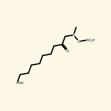 CCCCCCCCCCCCCCCCCC(=O)CN(C)OS(=O)(=O)O